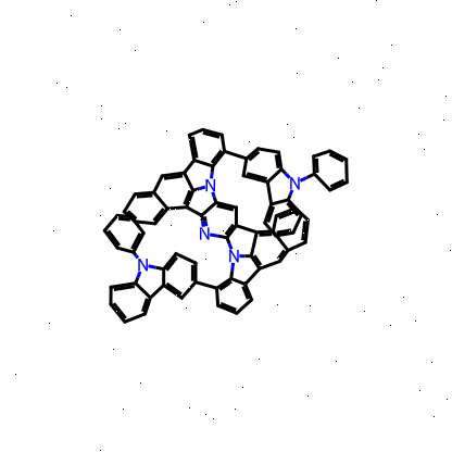 c1ccc(-n2c3ccccc3c3cc(-c4cccc5c6cc7ccccc7c7c8nc9c(cc8n(c45)c67)c4c5ccccc5cc5c6cccc(-c7ccc8c(c7)c7ccccc7n8-c7ccccc7)c6n9c54)ccc32)cc1